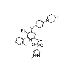 CCc1c(Oc2ccc(N3CCNCC3)cc2)nc(NS(=O)(=O)c2cnn(C)c2)nc1-c1ccccc1C